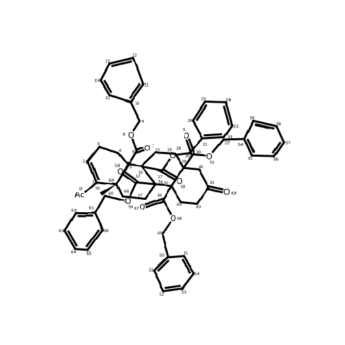 CC(=O)C1=CCCC2(C(=O)OCc3ccccc3)C3(C(=O)OCc4ccccc4)CCC4(C(=O)OCc5ccccc5)CC(=O)CCC4(C(=O)OCc4ccccc4)C3(C(=O)OCc3ccccc3)CC[C@]12C